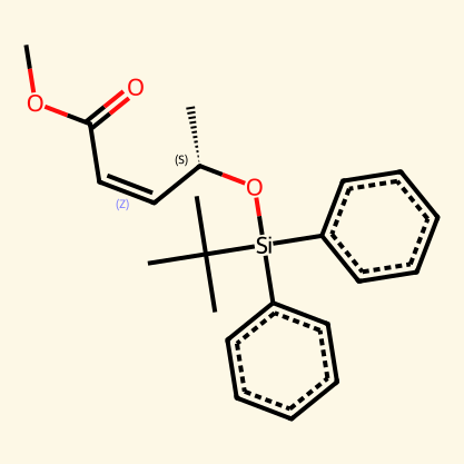 COC(=O)/C=C\[C@H](C)O[Si](c1ccccc1)(c1ccccc1)C(C)(C)C